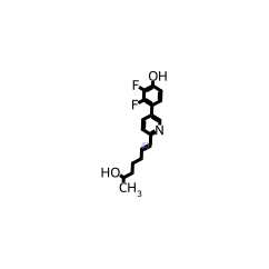 CC(O)CCC/C=C/c1ccc(-c2ccc(O)c(F)c2F)cn1